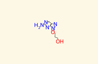 Nc1ncc2ncn(OCCCO)c2n1